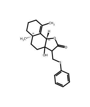 CC1=C2[C@@H]3OC(=O)C(CSc4ccccc4)C3(O)CC[C@@]2(C)CCC1